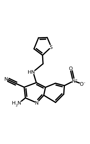 N#Cc1c(N)nc2ccc([N+](=O)[O-])cc2c1NCc1cccs1